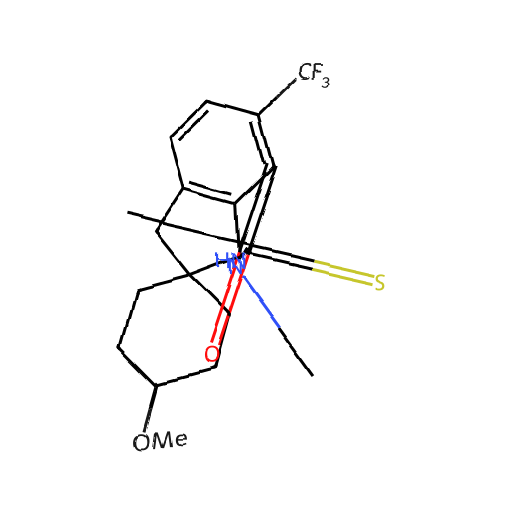 COC1CCC2(CC1)Cc1ccc(C(F)(F)F)cc1C21NC(=S)N(C)C1=O